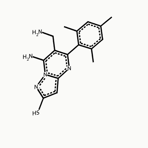 Cc1cc(C)c(-c2nc3cc(S)nn3c(N)c2CN)c(C)c1